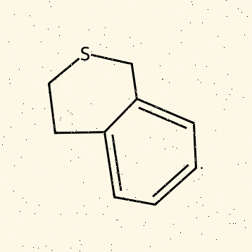 [c]1ccc2c(c1)CSCC2